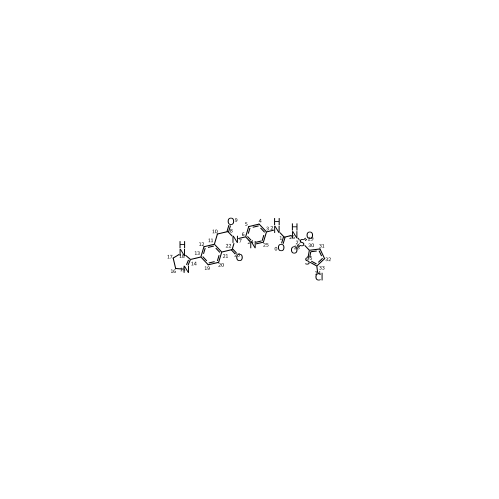 O=C(Nc1ccc(N2C(=O)Cc3cc(C4=NCCN4)ccc3C2=O)nc1)NS(=O)(=O)c1ccc(Cl)s1